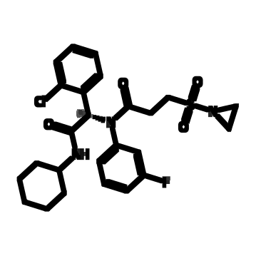 O=C(NC1CCCCC1)[C@H](c1ccccc1Cl)N(C(=O)CCS(=O)(=O)N1CC1)c1cccc(F)c1